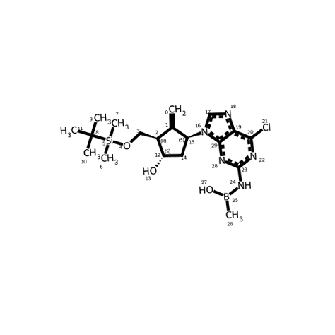 C=C1[C@H](CO[Si](C)(C)C(C)(C)C)[C@@H](O)C[C@@H]1n1cnc2c(Cl)nc(NB(C)O)nc21